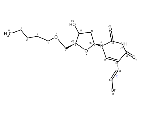 CCCCCOC[C@@H]1O[C@H](n2cc(/C=C/Br)c(=O)[nH]c2=O)CC1O